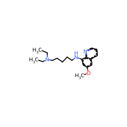 CCN(CC)CCCCCNc1cc(OC)cc2cccnc12